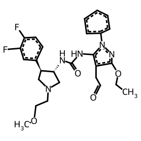 CCOc1nn(-c2ccccc2)c(NC(=O)N[C@@H]2CN(CCOC)C[C@H]2c2ccc(F)c(F)c2)c1CC=O